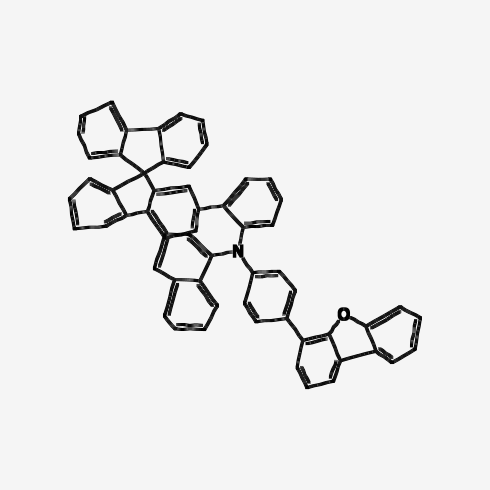 c1ccc(N(c2ccc(-c3cccc4c3oc3ccccc34)cc2)c2cccc3ccccc23)c(-c2ccc3c(c2)C2(c4ccccc4-c4ccccc42)c2ccccc2-3)c1